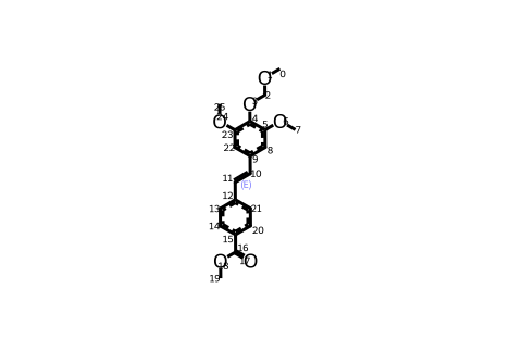 COCOc1c(OC)cc(/C=C/c2ccc(C(=O)OC)cc2)cc1OC